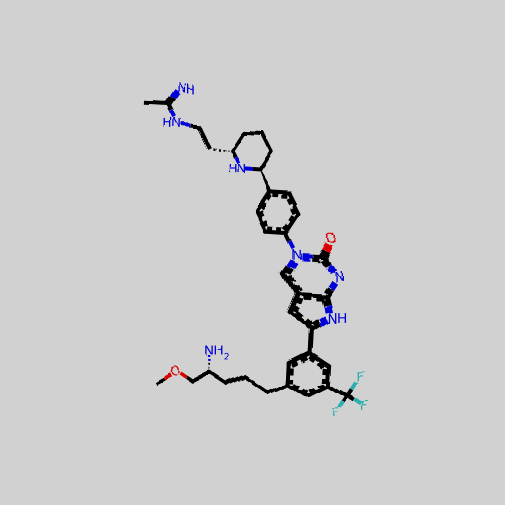 COC[C@H](N)CCCc1cc(-c2cc3cn(-c4ccc([C@@H]5CCC[C@@H](CCNC(C)=N)N5)cc4)c(=O)nc3[nH]2)cc(C(F)(F)F)c1